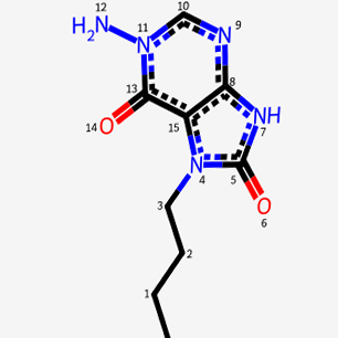 CCCCn1c(=O)[nH]c2ncn(N)c(=O)c21